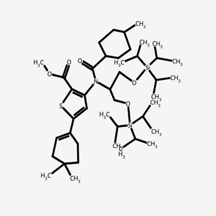 COC(=O)c1sc(C2=CCC(C)(C)CC2)cc1N(C(=O)C1CCC(C)CC1)C(CO[Si](C(C)C)(C(C)C)C(C)C)CO[Si](C(C)C)(C(C)C)C(C)C